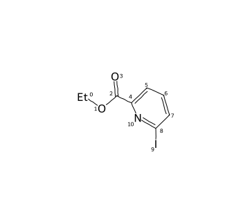 CCOC(=O)c1cccc(I)n1